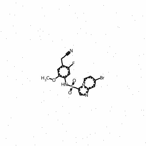 COc1cc(CC#N)c(F)cc1NS(=O)(=O)c1cnc2cc(Br)ccn12